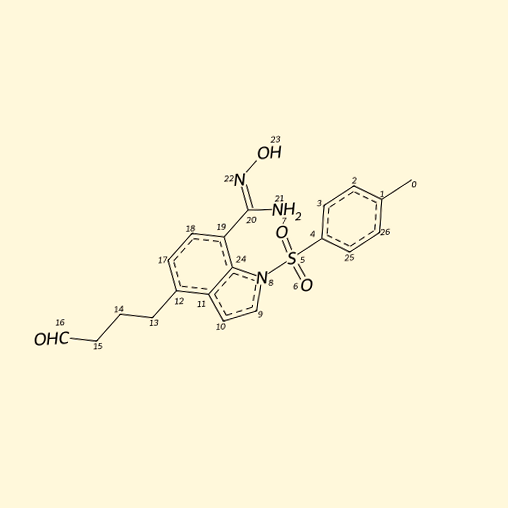 Cc1ccc(S(=O)(=O)n2ccc3c(CCCC=O)ccc(/C(N)=N/O)c32)cc1